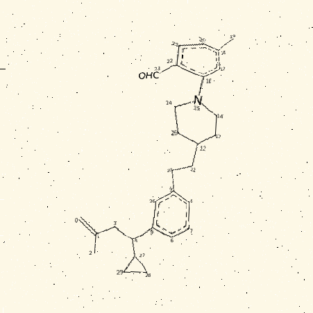 C=C(C)CC(c1cccc(CCC2CCN(c3cc(C)ccc3C=O)CC2)c1)C1CC1